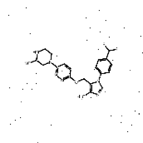 Cc1nnn(-c2ccc(C(F)F)cc2)c1COc1ccc(N2CCNC(C#N)C2)nn1